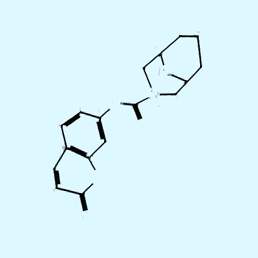 O=C(Oc1ccc2ccc(=O)oc2c1)N1CC2CCCC(C1)N2